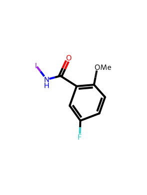 COc1ccc(F)cc1C(=O)NI